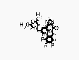 CC1CN(Cc2cnc3c(c2)c2ncnn2c(=O)n3Cc2cc(F)c(F)c(F)c2)CC(C)O1